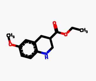 CCOC(=O)C1CNc2ccc(OC)cc2C1